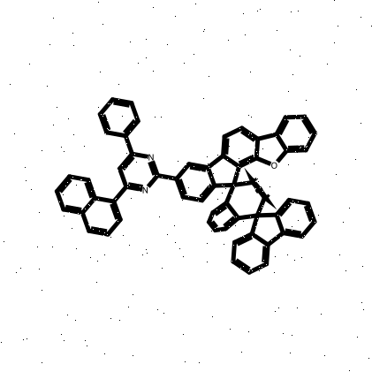 c1ccc(-c2cc(-c3cccc4ccccc34)nc(-c3ccc4c(c3)-c3ccc5c(oc6ccccc65)c3C43c4ccccc4C4(c5ccccc5-c5ccccc54)c4ccccc43)n2)cc1